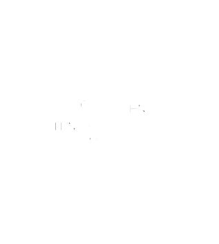 NS(=O)(=O)CCC1CCCN1